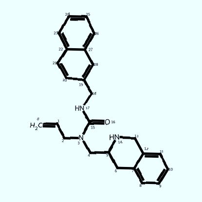 C=CCN(CC1Cc2ccccc2CN1)C(=O)NCc1ccc2ccccc2c1